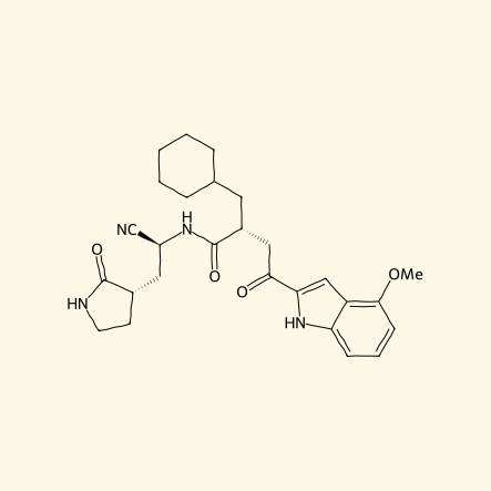 COc1cccc2[nH]c(C(=O)C[C@@H](CC3CCCCC3)C(=O)N[C@H](C#N)C[C@@H]3CCNC3=O)cc12